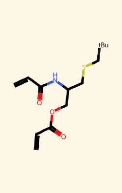 C=CC(=O)NC(COC(=O)C=C)CSCC(C)(C)C